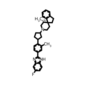 Cc1cc(-c2nc3cc(F)ccc3[nH]2)ccc1C1CCC(N2CCC3(CCc4ccccc43)[C@@H](C)C2)C1